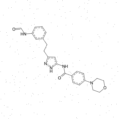 O=CNc1cccc(CCc2cc(NC(=O)c3ccc(N4CCOCC4)cc3)[nH]n2)c1